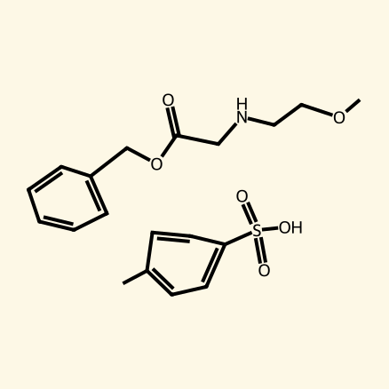 COCCNCC(=O)OCc1ccccc1.Cc1ccc(S(=O)(=O)O)cc1